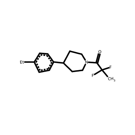 CCc1ccc(C2CCN(C(=O)C(C)(F)F)CC2)cc1